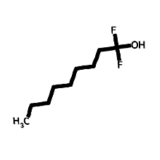 CCCCCCCCC(O)(F)F